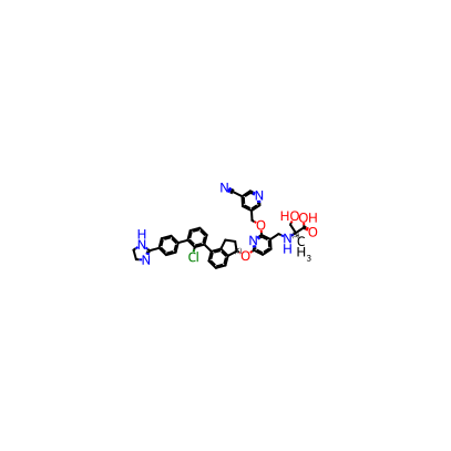 C[C@@](CO)(NCc1ccc(O[C@H]2CCc3c(-c4cccc(-c5ccc(C6=NCCN6)cc5)c4Cl)cccc32)nc1OCc1cncc(C#N)c1)C(=O)O